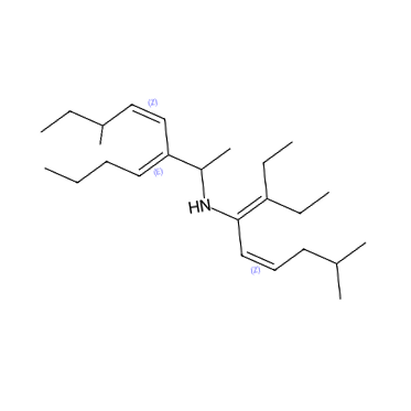 CCC/C=C(\C=C/C(C)CC)C(C)NC(/C=C\CC(C)C)=C(CC)CC